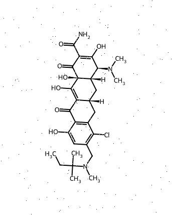 CCC(C)(C)N(C)Cc1cc(O)c2c(c1Cl)C[C@H]1C[C@H]3[C@H](N(C)C)C(O)=C(C(N)=O)C(=O)[C@@]3(O)C(O)=C1C2=O